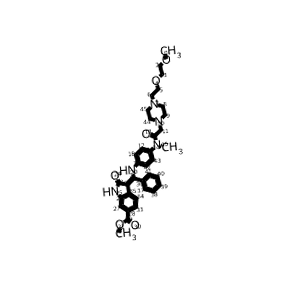 COCCOCCN1CCN(CC(=O)N(C)c2ccc(N/C(=C3\C(=O)Nc4cc(C(=O)OC)ccc43)c3ccccc3)cc2)CC1